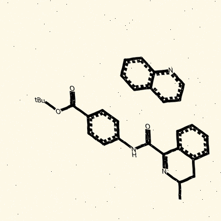 CC1Cc2ccccc2C(C(=O)Nc2ccc(C(=O)OC(C)(C)C)cc2)=N1.c1ccc2ncccc2c1